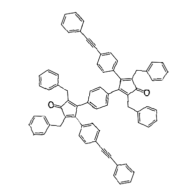 O=C1C(Cc2ccccc2)=C(c2ccc(C#Cc3ccccc3)cc2)C(c2ccc(C3=C(Cc4ccccc4)C(=O)C(Cc4ccccc4)=C3c3ccc(C#Cc4ccccc4)cc3)cc2)=C1Cc1ccccc1